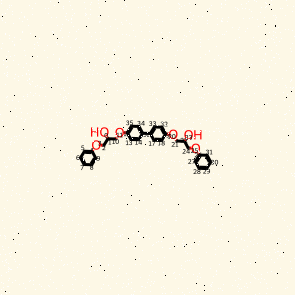 OC(COc1ccccc1)COc1ccc(-c2ccc(OCC(O)COc3ccccc3)cc2)cc1